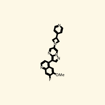 COc1cc2c(-c3cnn4cc(N5CC(c6ccncc6)C5)cnc34)ccnc2cc1F